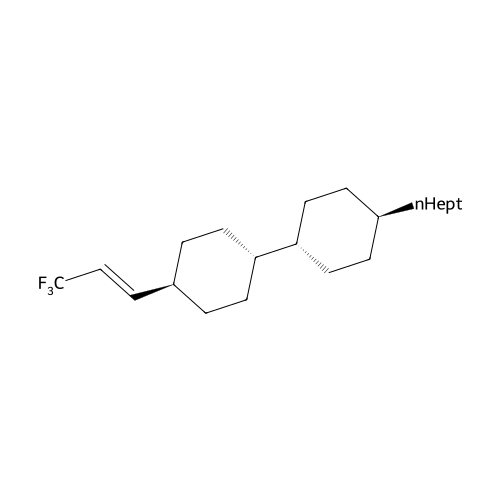 CCCCCCC[C@H]1CC[C@H]([C@H]2CC[C@H](C=CC(F)(F)F)CC2)CC1